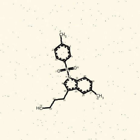 Cc1ccc(S(=O)(=O)n2cc(CCCO)c3cc(C)ccc32)cc1